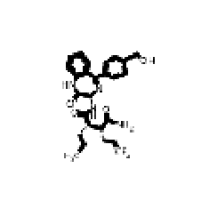 NC(=O)[C@H](CCC(F)(F)F)[C@H](CCC(F)(F)F)C(=O)N[C@H]1N=C(c2ccc(CO)cc2)c2ccccc2NC1=O